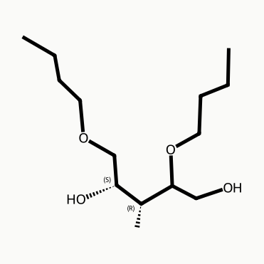 CCCCOC[C@@H](O)[C@@H](C)C(CO)OCCCC